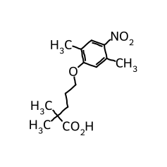 Cc1cc([N+](=O)[O-])c(C)cc1OCCCC(C)(C)C(=O)O